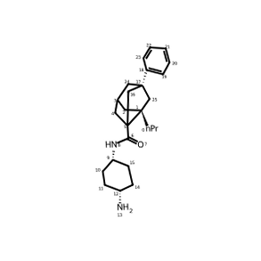 CCC[C@]12CC3CC1(C(=O)N[C@H]1CC[C@@H](N)CC1)C[C@@](c1ccccc1)(C3)C2